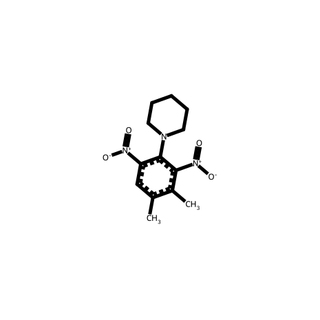 Cc1cc([N+](=O)[O-])c(N2CCCCC2)c([N+](=O)[O-])c1C